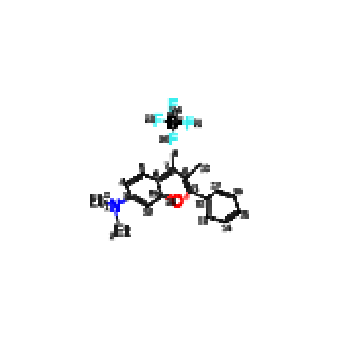 CCN(CC)c1ccc2c(C)c(C)c(-c3ccccc3)[o+]c2c1.F[B-](F)(F)F